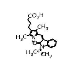 Cc1[nH]c(C=C2C(=O)N(P(C)C)c3ccccc32)c(C)c1CCCC(=O)O